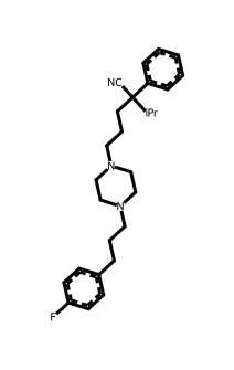 CC(C)C(C#N)(CCCN1CCN(CCCc2ccc(F)cc2)CC1)c1ccccc1